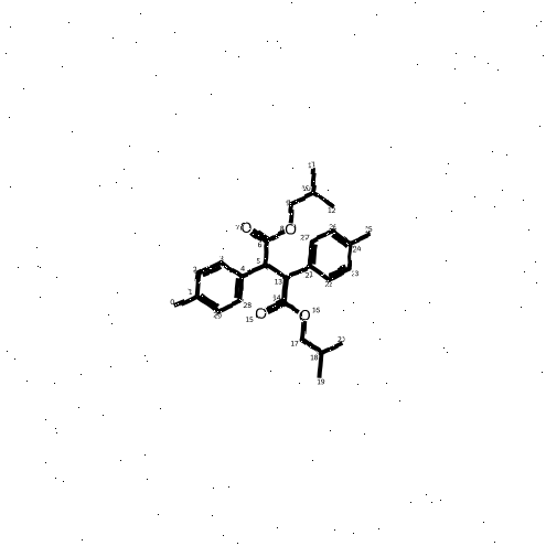 Cc1ccc(C(C(=O)OCC(C)C)C(C(=O)OCC(C)C)c2ccc(C)cc2)cc1